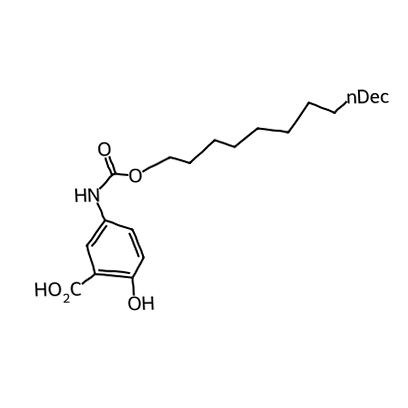 CCCCCCCCCCCCCCCCCCOC(=O)Nc1ccc(O)c(C(=O)O)c1